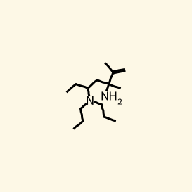 C=C(C)C(C)(N)CC(CC)N(CCC)CCC